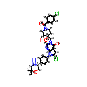 CC1(C)CN[C@@H](c2ccc(-n3c(Cl)cc4c(=O)n(CC5(O)CCN(C(=O)c6ccc(Cl)cc6)CC5)cnc43)cc2)CO1